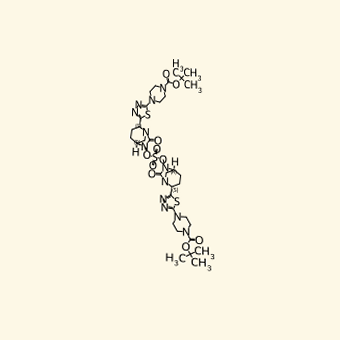 CC(C)(C)OC(=O)N1CCN(c2nnc([C@@H]3CC[C@@H]4CN3C(=O)N4OS(=O)(=O)ON3C(=O)N4C[C@H]3CC[C@H]4c3nnc(N4CCN(C(=O)OC(C)(C)C)CC4)s3)s2)CC1